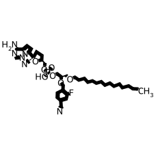 CCCCCCCCCCCCCCCCOC[C@H](COP(=O)(O)OC[C@@H]1CC[C@](C#N)(c2ccc3c(N)ncnn23)O1)OCc1ccc(C#N)cc1F